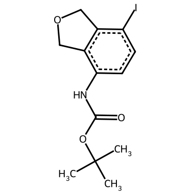 CC(C)(C)OC(=O)Nc1ccc(I)c2c1COC2